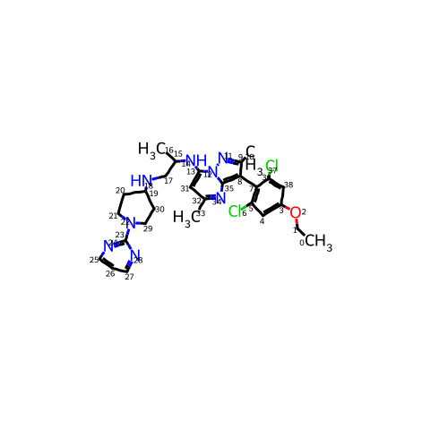 CCOc1cc(Cl)c(-c2c(C)nn3c(NC(C)CNC4CCN(c5ncccn5)CC4)cc(C)nc23)c(Cl)c1